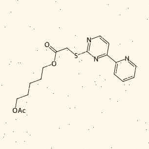 CC(=O)OCCCCCOC(=O)CSc1nccc(-c2ccccn2)n1